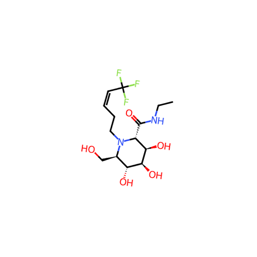 CCNC(=O)[C@@H]1[C@@H](O)[C@@H](O)[C@H](O)[C@@H](CO)N1CC/C=C\C(F)(F)F